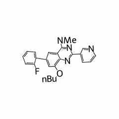 CCCCOc1cc(-c2ccccc2F)cc2c(NC)nc(-c3cccnc3)nc12